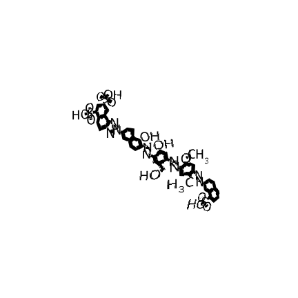 COc1cc(N=Nc2ccc3cccc(S(=O)(=O)O)c3c2)c(C)cc1N=Nc1cc(O)c(N=Nc2ccc3cc(-n4nc5ccc6c(S(=O)(=O)O)cc(S(=O)(=O)O)cc6c5n4)ccc3c2O)cc1CO